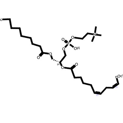 CCCCCCCC/C=C\C/C=C\CCCCC(=O)O[C@H](COC(=O)CCCCCCCCCCCCCCCCC)COP(=O)(O)OCC[N+](C)(C)C